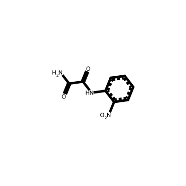 NC(=O)C(=O)Nc1ccccc1[N+](=O)[O-]